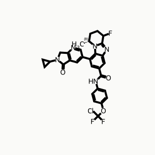 C[C@@H]1CCC(F)c2nc3cc(C(=O)Nc4ccc(OC(F)(F)Cl)cc4)cc(-c4cnc5c(c4)C(=O)N(C4CC4)C5)c3n21